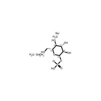 O.O.O.O.O=P([O-])(O)O[C@H]1O[C@H](CO)[C@@H](O)[C@H](O)[C@H]1O.[Na+]